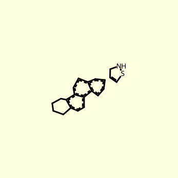 C1=CSNC1.c1ccc2c(c1)ccc1c3c(ccc12)CCCC3